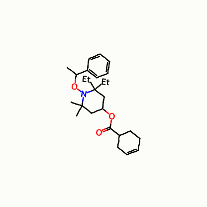 CCC1(CC)CC(OC(=O)C2CC=CCC2)CC(C)(C)N1OC(C)c1ccccc1